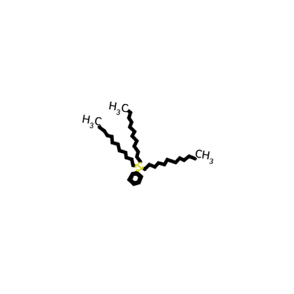 CCCCCCCCCCCCS(CCCCCCCCCCCC)(CCCCCCCCCCCC)c1ccccc1